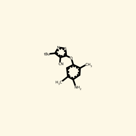 Cc1cc(Oc2snc(C(C)(C)C)c2C#N)c(C)cc1N